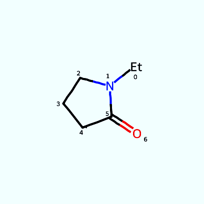 CCN1CC[CH]C1=O